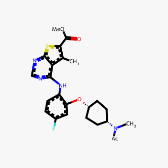 COC(=O)c1sc2ncnc(Nc3ccc(F)cc3O[C@H]3CC[C@@H](N(C)C(C)=O)CC3)c2c1C